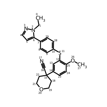 CCn1nccc1-c1ccc(Sc2cc(C3(C#N)CCOCC3)ccc2OC)cc1